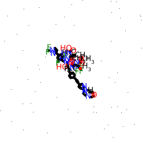 COC(=O)N[C@H](C(=O)N[C@@H](Cc1ccc(C#Cc2ccc(N3CCN4CCOC[C@H]4C3)nc2)cc1)[C@@H](O)CN(Cc1c(F)cc(-c2ccn(C(F)F)n2)cc1F)NC(=O)[C@@H](NC(=O)O)C(C)(C)C)C(C)(C)C(F)(F)F